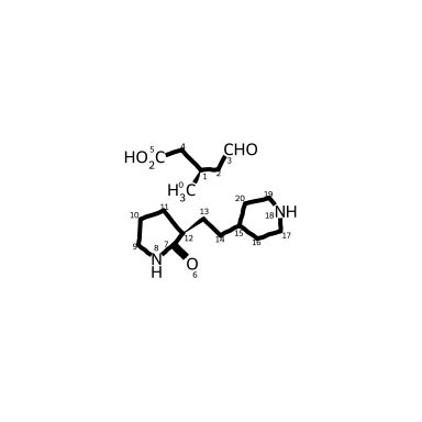 C[C@H](CC=O)CC(=O)O.O=C1NCCC[C@H]1CCC1CCNCC1